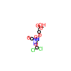 CCOC(Cc1ccc(OCCN(CCCOc2cc(Cl)cc(Cl)c2)C(=O)Nc2ccc(OC)cc2)cc1)C(=O)O